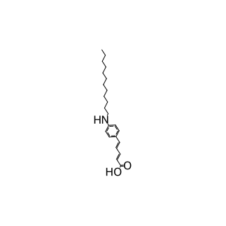 CCCCCCCCCCCCNc1ccc(C=CC=CC(=O)O)cc1